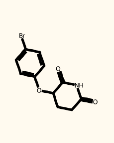 O=C1CCC(Oc2ccc(Br)cc2)C(=O)N1